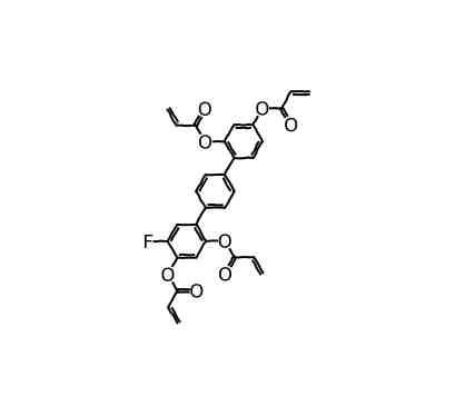 C=CC(=O)Oc1ccc(-c2ccc(-c3cc(F)c(OC(=O)C=C)cc3OC(=O)C=C)cc2)c(OC(=O)C=C)c1